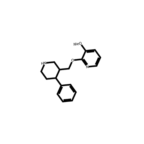 COc1cccnc1OCC1CNCCC1c1ccccc1